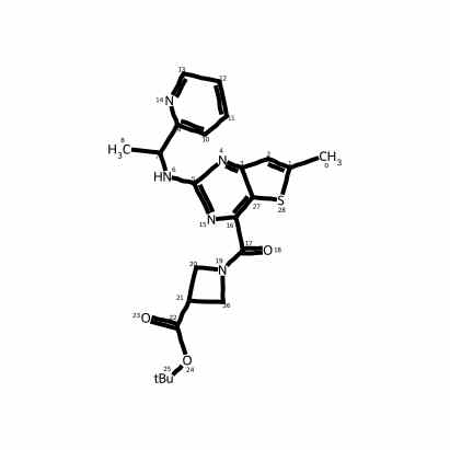 Cc1cc2nc(NC(C)c3ccccn3)nc(C(=O)N3CC(C(=O)OC(C)(C)C)C3)c2s1